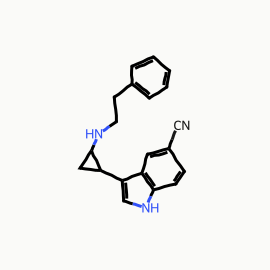 N#Cc1ccc2[nH]cc(C3CC3NCCc3ccccc3)c2c1